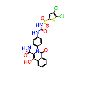 NC(=O)c1c(O)c2ccccc2c(=O)n1-c1ccc(NC(=O)NS(=O)(=O)c2cc(Cl)c(Cl)s2)cc1